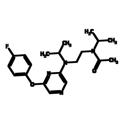 CC(=O)N(CCN(c1cncc(Oc2ccc(F)cc2)n1)C(C)C)C(C)C